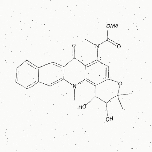 COC(=O)N(C)c1cc2c(c3c1c(=O)c1cc4ccccc4cc1n3C)C(O)C(O)C(C)(C)O2